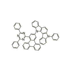 c1ccc(-c2nc(-c3ccccc3)nc(-c3cc(-n4c5ccccc5c5ccc6c(c7ccccc7n6-c6ccccc6)c54)cc4c5ccccc5c5ccccc5c34)n2)cc1